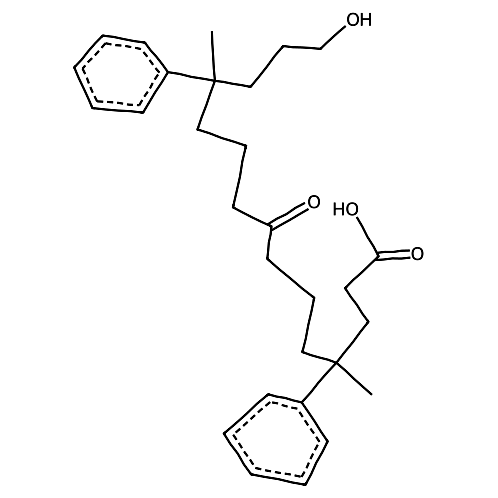 CC(CCCO)(CCCC(=O)CCCC(C)(CCC(=O)O)c1ccccc1)c1ccccc1